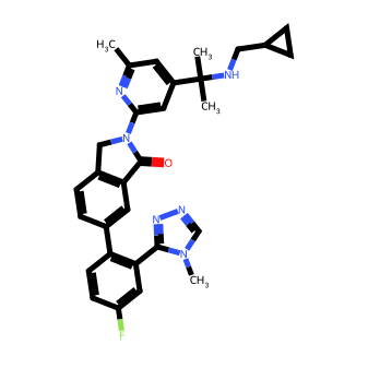 Cc1cc(C(C)(C)NCC2CC2)cc(N2Cc3ccc(-c4ccc(F)cc4-c4nncn4C)cc3C2=O)n1